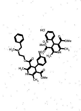 COC(=O)C1=C(C)NC(C)=C(C(=O)OC)C1c1ccccc1[N+](=O)[O-].COC(=O)C1=C(C)NC(C)=C(C(=O)OCCN(C)Cc2ccccc2)C1c1cccc([N+](=O)[O-])c1.Cl